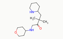 CC(C)(CC1CCCCN1)C(=O)CNC1CCOCC1